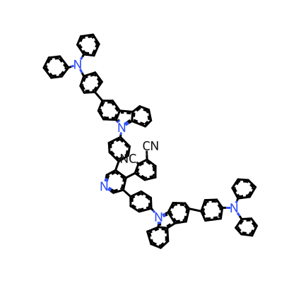 N#Cc1cccc(-c2c(-c3ccc(-n4c5ccccc5c5cc(-c6ccc(N(c7ccccc7)c7ccccc7)cc6)ccc54)cc3)cncc2-c2ccc(-n3c4ccccc4c4cc(-c5ccc(N(c6ccccc6)c6ccccc6)cc5)ccc43)cc2)c1C#N